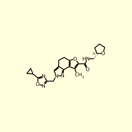 Cc1c(C(=O)NC[C@@H]2CCCO2)oc2c1-c1nn(Cc3noc(C4CC4)n3)cc1CC2